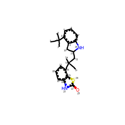 CC(C)(C)c1cccc2c1CC(CC(C)(C)c1cccc3[nH]c(=O)sc13)N2